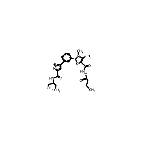 CCCC(=O)ONC(=O)C1=C(C)N(C)[C@H](c2cccc(-c3cc(C(=O)NC(CC)CC)n[nH]3)c2)O1